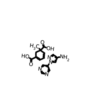 CC1(C(=O)O)C=CC=C(C(=O)O)C1.Nc1cnn(-c2cncnc2)c1